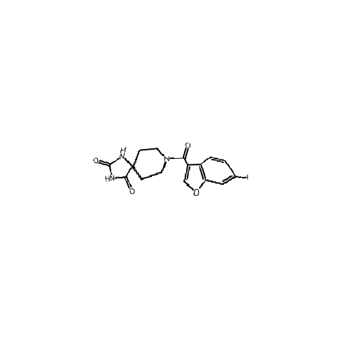 O=C1NC(=O)C2(CCN(C(=O)c3coc4cc(I)ccc34)CC2)N1